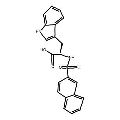 O=C(O)[C@@H](Cc1c[nH]c2ccccc12)NS(=O)(=O)c1ccc2ccccc2c1